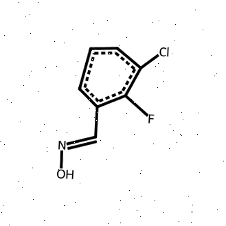 O/N=C/c1cccc(Cl)c1F